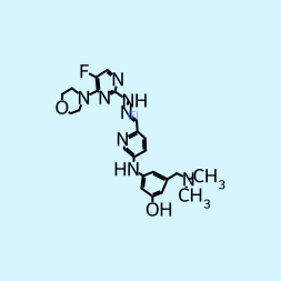 CN(C)Cc1cc(O)cc(Nc2ccc(/C=N/Nc3ncc(F)c(N4CCOCC4)n3)nc2)c1